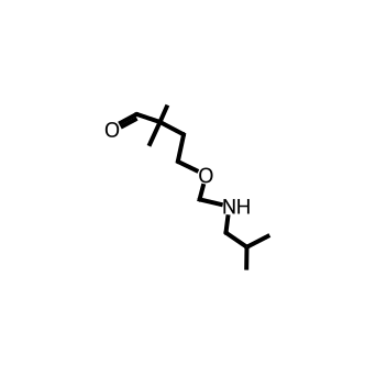 CC(C)CNCOCCC(C)(C)C=O